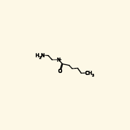 CCCCCC(=O)[N]CCN